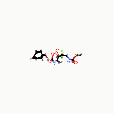 CC(C)C(NC(=O)OCc1ccccc1)C(O)C(F)(F)CNC(=O)OC(C)(C)C